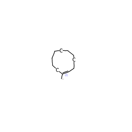 [CH2]/C1=C/CCCCCCCCC1